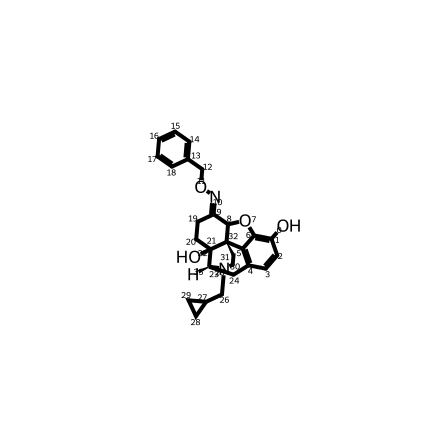 Oc1ccc2c3c1OC1C(=NOCc4ccccc4)CCC4(O)[C@@H](C2)N(CC2CC2)CC[C@]314